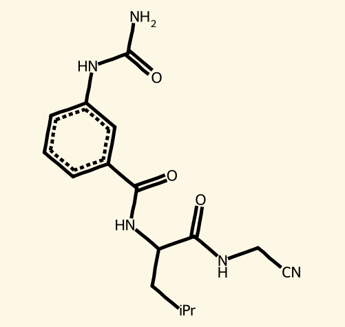 CC(C)CC(NC(=O)c1cccc(NC(N)=O)c1)C(=O)NCC#N